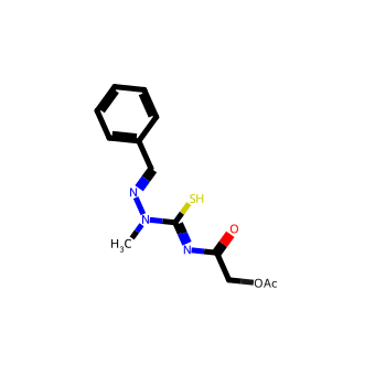 CC(=O)OCC(=O)N=C(S)N(C)N=Cc1ccccc1